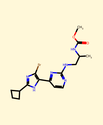 COC(=O)NC(C)CNc1nccc(-c2[nH]c(C3CCC3)nc2Br)n1